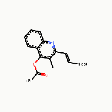 CCCCCCCC=Cc1nc2ccccc2c(OC(=O)CCC)c1C